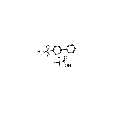 NS(=O)(=O)c1ccc(-c2ccccc2)cc1.O=C(O)C(F)(F)F